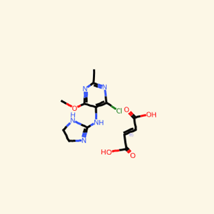 COc1nc(C)nc(Cl)c1NC1=NCCN1.O=C(O)/C=C/C(=O)O